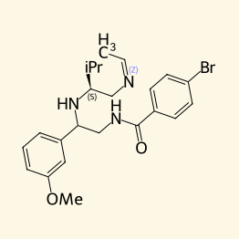 C/C=N\C[C@@H](NC(CNC(=O)c1ccc(Br)cc1)c1cccc(OC)c1)C(C)C